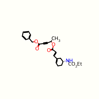 CCOC(=O)N[C@@H]1CCC=C(/C=C/C(=O)O[C@H](C)C#CC(=O)OCc2ccccc2)C1